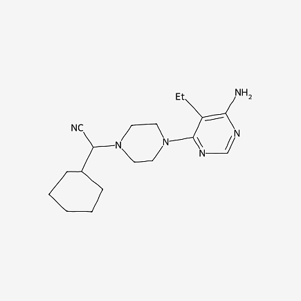 CCc1c(N)ncnc1N1CCN(C(C#N)C2CCCCC2)CC1